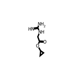 N=C(N)NCC(=O)OC1CC1